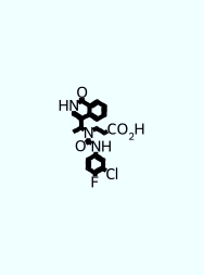 CC(c1c[nH]c(=O)c2ccccc12)N(CCC(=O)O)C(=O)Nc1ccc(F)c(Cl)c1